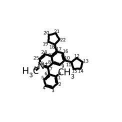 Cc1ccccc1-c1c2cc(C3CCCC3)cc(C3CCCC3)c2cc[n+]1C